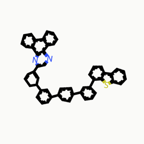 C1=CC(c2cnc3c4ccccc4c4ccccc4c3n2)=CC(c2cccc(-c3ccc(-c4cccc(-c5cccc6c5sc5ccccc56)c4)cc3)c2)C1